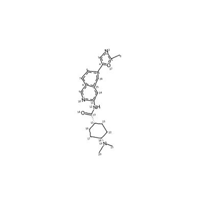 Cc1ncc(-c2ccc3cnc(NC(=O)[C@H]4CC[C@@H](N(C)C)CC4)cc3c2)o1